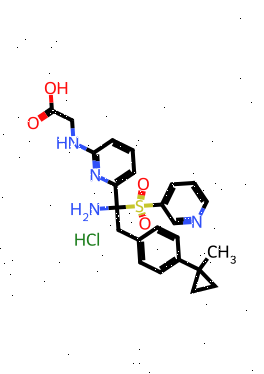 CC1(c2ccc(CC(N)(c3cccc(NCC(=O)O)n3)S(=O)(=O)c3cccnc3)cc2)CC1.Cl